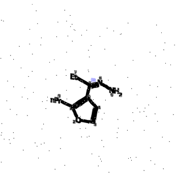 CCCc1occc1/C(CC)=N\N